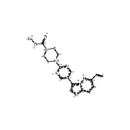 C=Cc1ccc2ncc(-c3cnc(N4CCN(C(=O)OC(C)(C)C)CC4)nc3)n2n1